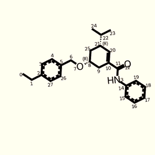 CCc1ccc(CO[C@H]2CC(C(=O)Nc3ccccc3)=C[C@@H](C(C)C)C2)cc1